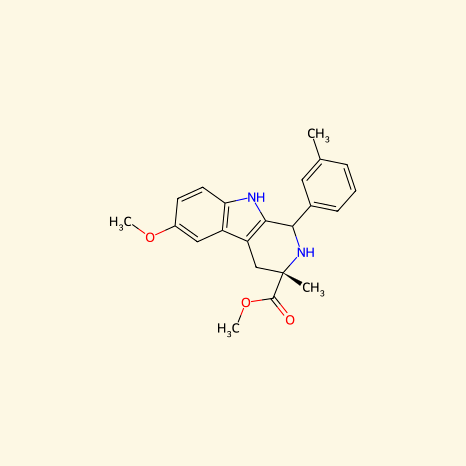 COC(=O)[C@]1(C)Cc2c([nH]c3ccc(OC)cc23)C(c2cccc(C)c2)N1